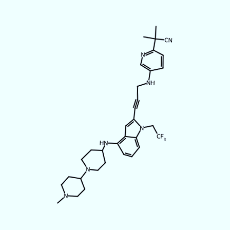 CN1CCC(N2CCC(Nc3cccc4c3cc(C#CCNc3ccc(C(C)(C)C#N)nc3)n4CC(F)(F)F)CC2)CC1